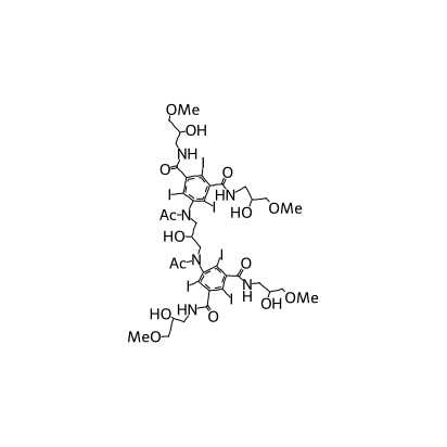 COCC(O)CNC(=O)c1c(I)c(C(=O)NCC(O)COC)c(I)c(N(CC(O)CN(C(C)=O)c2c(I)c(C(=O)NCC(O)COC)c(I)c(C(=O)NCC(O)COC)c2I)C(C)=O)c1I